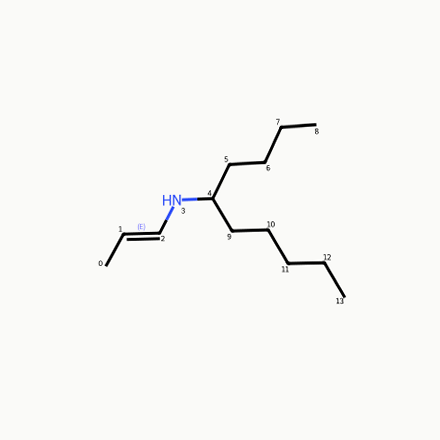 C/C=C/NC(CCCC)CCCCC